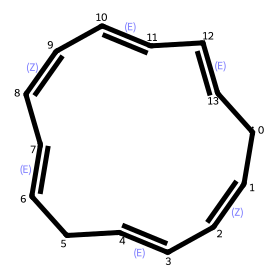 [CH]1/C=C\C=C\C/C=C/C=C\C=C\C=C\1